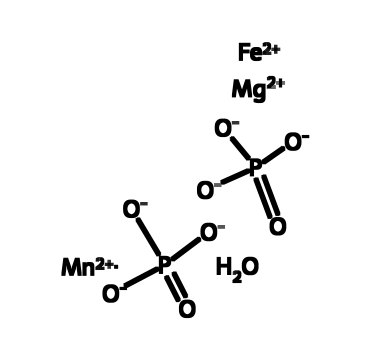 O.O=P([O-])([O-])[O-].O=P([O-])([O-])[O-].[Fe+2].[Mg+2].[Mn+2]